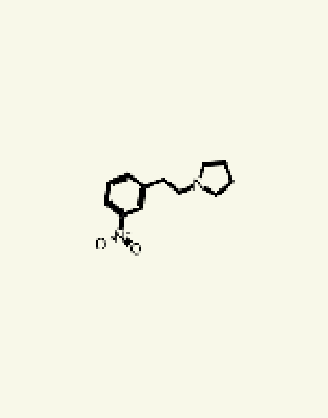 O=[N+]([O-])c1cccc(CCN2CCCC2)c1